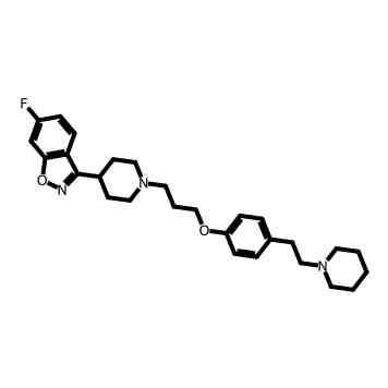 Fc1ccc2c(C3CCN(CCCOc4ccc(CCN5CCCCC5)cc4)CC3)noc2c1